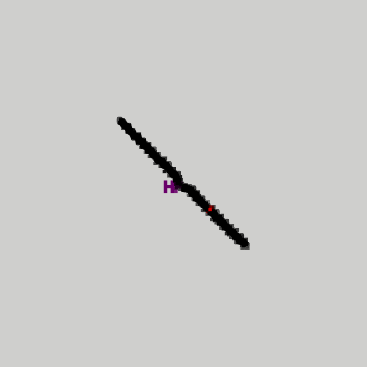 CCCCCCCCCCCCCCCCCCCCCCCCC#CPC#CCCCCCCCCCCCCCCCCCCCCCCCC